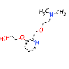 CN(C)CCOCc1ncccc1OCCO